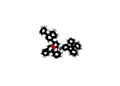 c1ccc(-c2ccc(-c3ccc(N(c4ccc5c(c4)-c4ccccc4C5(c4ccccc4)c4ccccc4)c4ccccc4-c4cccc5ccccc45)cc3)c3ccccc23)cc1